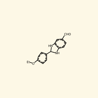 CCOc1ccc(C2Nc3ccc(C=O)cc3N2)cc1